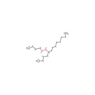 CCCCCCCCC(CCCC)OOCCCC